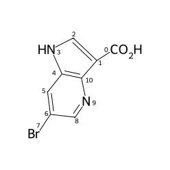 O=C(O)c1c[nH]c2cc(Br)cnc12